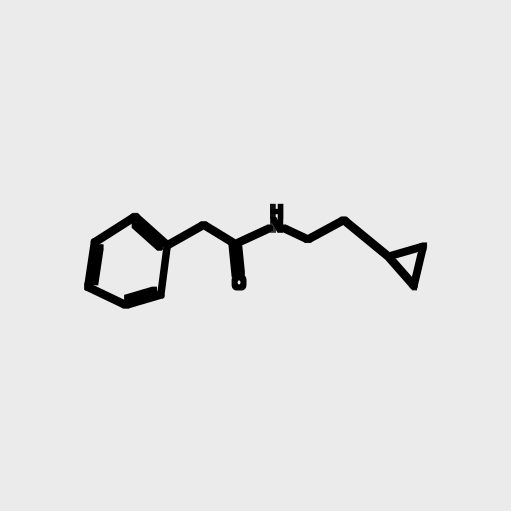 O=C(Cc1ccccc1)NCCC1CC1